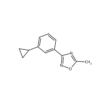 Cc1nc(-c2c[c]cc(C3CC3)c2)no1